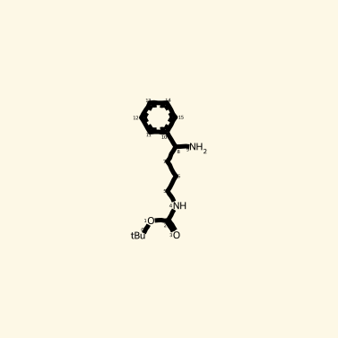 CC(C)(C)OC(=O)NCCCC(N)c1ccccc1